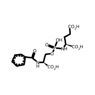 O=C(O)CC[C@H](NP(=O)(O)OC[C@H](NC(=O)c1ccccc1)C(=O)O)C(=O)O